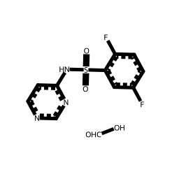 O=CO.O=S(=O)(Nc1ccncn1)c1cc(F)ccc1F